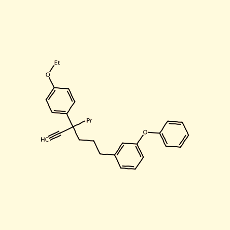 C#CC(CCCc1cccc(Oc2ccccc2)c1)(c1ccc(OCC)cc1)C(C)C